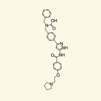 O=C(Nc1cc(-c2ccc(CN(Cc3ccccc3)C(=O)O)cc2)n[nH]1)c1ccc(OCCN2CCCC2)cc1